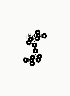 CC1C(N(c2ccc(-c3ccc(N(c4ccc5c(c4)c4ccccc4n5-c4ccccc4)c4cccc5ccccc45)cc3)cc2)c2cccc3ccccc23)C=CC2N(C3C=CC=CC3)c3ccccc3C12C